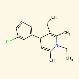 CCC1=C(C)N(CC)C(C)=CC1c1cccc(Cl)c1